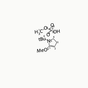 COC1=CCCN1C(C)(C)C.COS(=O)(=O)O